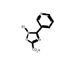 CCN1OC(C(=O)O)=NC1c1cccnc1